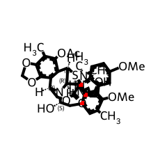 COc1ccc2[nH]c3c(c2c1)CCN[C@]31S[C@@H]2c3c(OC(C)=O)c(C)c4c(c3[C@H](COC1=O)N1[C@@H]2[C@@H](N(C)C)c2c(cc(C)c(OC)c2O)C[C@@H]1O)OCO4